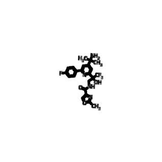 Cc1nc(C(=O)NCC(O)(c2cc(C(C)(C)N)cc(-c3ccc(F)cc3)n2)C(F)(F)F)co1